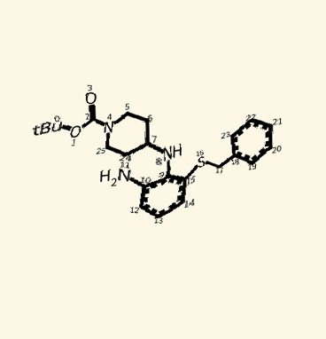 CC(C)(C)OC(=O)N1CCC(Nc2c(N)cccc2SCc2ccccc2)CC1